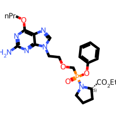 CCCOc1nc(N)nc2c1ncn2CCOCP(=O)(Oc1ccccc1)N1CCC[C@H]1C(=O)OCC